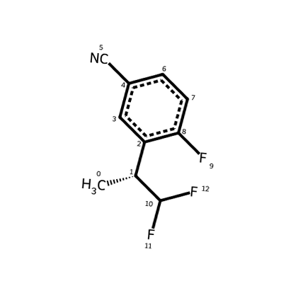 C[C@H](c1cc(C#N)ccc1F)C(F)F